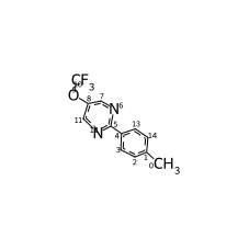 Cc1ccc(-c2ncc(OC(F)(F)F)cn2)cc1